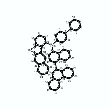 c1ccc(-c2ccc(N(c3ccc(-c4cc5ccccc5c5ccccc45)c4ccccc34)c3cccc4sc5cc6ccccc6cc5c34)cc2)cc1